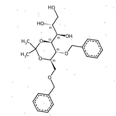 CC1(C)O[C@@H]([C@H](O)[C@H](O)CO)[C@H](OCc2ccccc2)[C@@H](COCc2ccccc2)O1